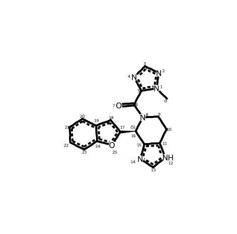 Cn1ncnc1C(=O)N1CCc2[nH]cnc2[C@H]1c1cc2ccccc2o1